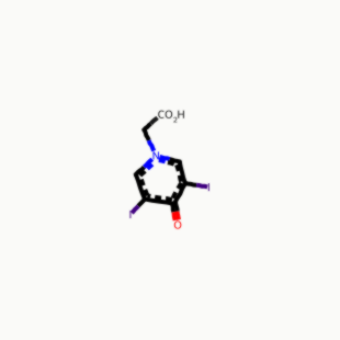 O=C(O)Cn1cc(I)c(=O)c(I)c1